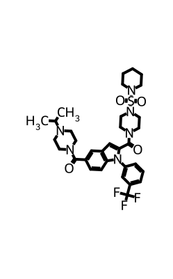 CC(C)N1CCN(C(=O)c2ccc3c(c2)cc(C(=O)N2CCN(S(=O)(=O)N4CCCCC4)CC2)n3-c2cccc(C(F)(F)F)c2)CC1